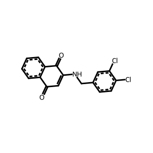 O=C1C=C(NCc2ccc(Cl)c(Cl)c2)C(=O)c2ccccc21